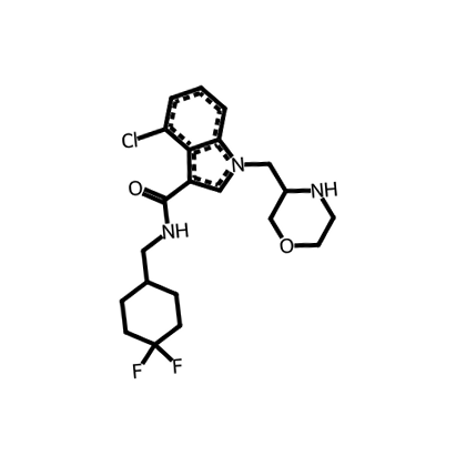 O=C(NCC1CCC(F)(F)CC1)c1cn(CC2COCCN2)c2cccc(Cl)c12